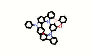 c1ccc(-n2c3ccccc3c3c2ccc2c4cccc5c4n(c23)-c2cc(-n3c4ccccc4c4ccccc43)cc3c2B5c2ccccc2O3)cc1